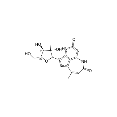 CC1=CC(=O)Nc2nc(=O)[nH]c3c2c1cn3C1O[C@H](CO)[C@@H](O)C1(C)O